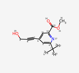 [2H]C([2H])([2H])c1cc(C#CCO)cc(C(=O)OC)n1